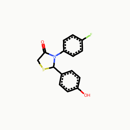 O=C1CSC(c2ccc(O)cc2)N1c1ccc(F)cc1